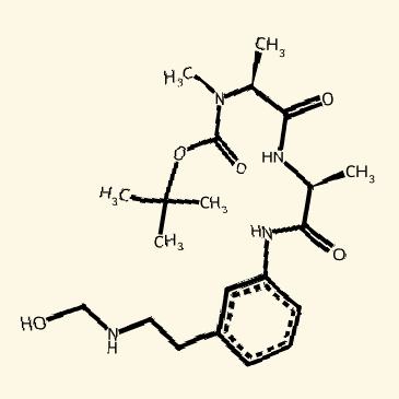 C[C@H](NC(=O)[C@H](C)N(C)C(=O)OC(C)(C)C)C(=O)Nc1cccc(CCNCO)c1